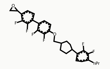 CCCc1ccc(C2CCC(COc3ccc(-c4ccc(C5CO5)c(F)c4F)c(F)c3F)CC2)c(F)c1F